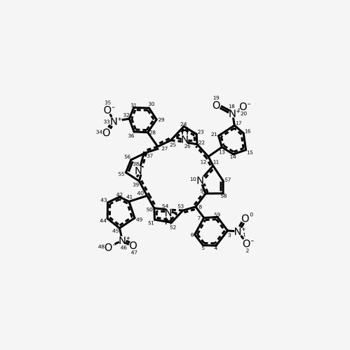 O=[N+]([O-])c1cccc(-c2c3nc(c(-c4cccc([N+](=O)[O-])c4)c4ccc([nH]4)c(-c4cccc([N+](=O)[O-])c4)c4nc(c(-c5cccc([N+](=O)[O-])c5)c5ccc2[nH]5)C=C4)C=C3)c1